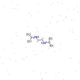 CCC(CC)NCCNC(CC)CC